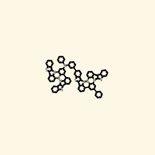 c1ccc(-c2cc3c4c(c2)-n2c5sc6ccccc6c5c5cccc(c52)B4n2c4c-3cccc4c3sc4cc(-c5cccc(N(c6ccccc6)c6cc7c8c(c6)-n6c9c(cccc9c9sc%10ccccc%10c96)B8n6c8c-7cccc8c7sc8ccccc8c76)c5)ccc4c32)cc1